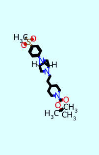 CC(C)(C)OC(=O)N1CCC(CCN2C[C@@H]3C[C@H]2CN3c2ccc(S(C)(=O)=O)cc2)CC1